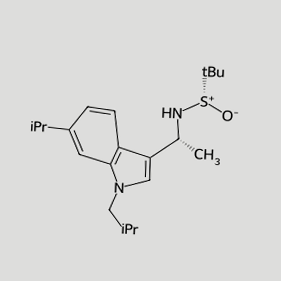 CC(C)Cn1cc([C@@H](C)N[S@@+]([O-])C(C)(C)C)c2ccc(C(C)C)cc21